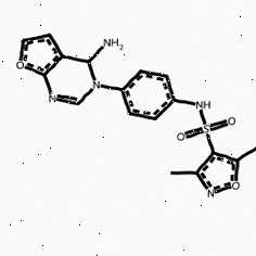 Cc1noc(C)c1S(=O)(=O)Nc1ccc(N2C=Nc3occc3C2N)cc1